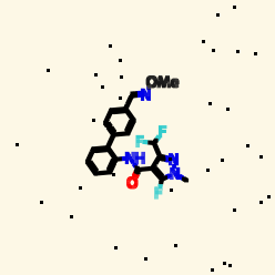 CON=Cc1ccc(-c2ccccc2NC(=O)c2c(C(F)F)nn(C)c2F)cc1